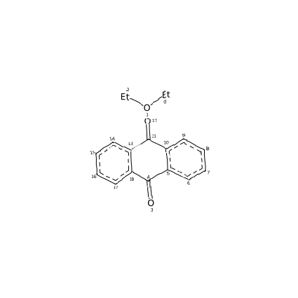 CCOCC.O=C1c2ccccc2C(=O)c2ccccc21